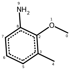 COc1c(C)cccc1N